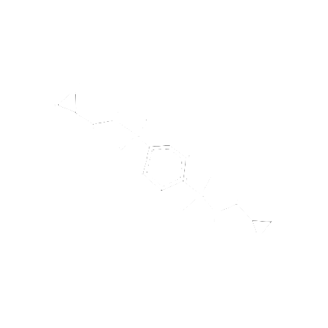 C[Si](C)(OCC1CO1)c1ccc([Si](C)(C)OCC2CO2)cc1